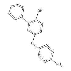 Nc1ccc(Oc2ccc(O)c(-c3ccccc3)c2)cc1